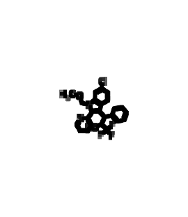 COCn1c(-c2ccccn2)c(C(c2ccccc2)C(O)C(F)(F)F)c2ccc(Cl)cc21